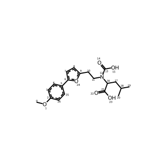 COc1ccc(-c2ccc(CCN(C(=O)O)C(CC(C)C)C(=O)O)o2)cc1